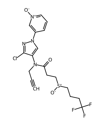 C#CCN(C(=O)CC[S+]([O-])CCCC(F)(F)F)c1cn(-c2ccc[n+]([O-])c2)nc1Cl